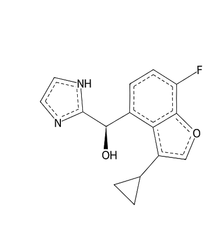 O[C@@H](c1ncc[nH]1)c1ccc(F)c2occ(C3CC3)c12